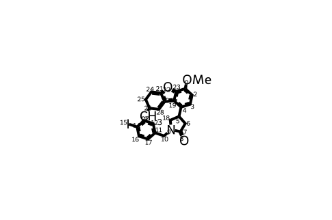 COc1ccc(C2CC(=O)N(Cc3ccc(I)cc3)C2)c2c3c(oc12)=CCC(C)C=3